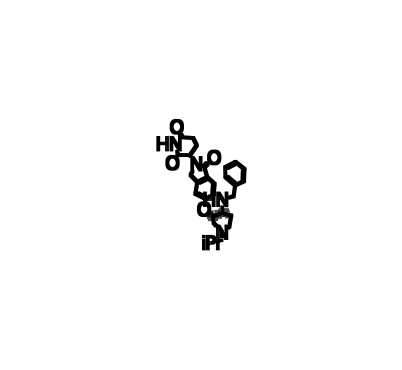 CC(C)N1CC[C@H](NCc2ccccc2)[C@@H](Oc2ccc3c(c2)CN(C2CCC(=O)NC2=O)C3=O)C1